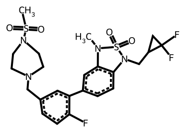 CN1c2cc(-c3cc(CN4CCN(S(C)(=O)=O)CC4)ccc3F)ccc2N(CC2CC2(F)F)S1(=O)=O